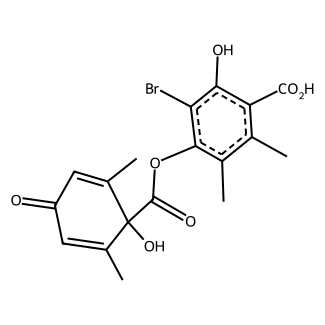 CC1=CC(=O)C=C(C)C1(O)C(=O)Oc1c(C)c(C)c(C(=O)O)c(O)c1Br